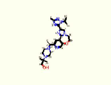 Cc1nc(-c2cn3c(n2)-c2cc([C@H](C)N4CCN(C(C)(C)CO)CC4)ncc2OCC3)n(C(C)C)n1